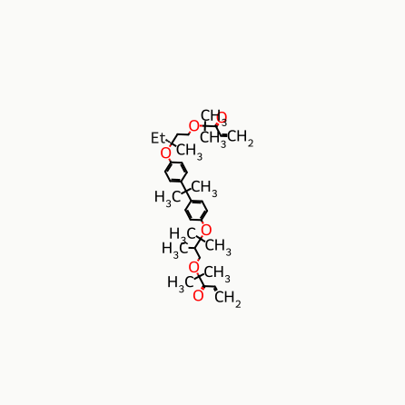 C=CC(=O)C(C)(C)OCC[C@@](C)(CC)Oc1ccc(C(C)(C)c2ccc(OC(C)(C)C(C)COC(C)(C)C(=O)C=C)cc2)cc1